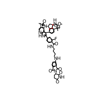 COC(=O)N[C@@H]1CC[C@@H](n2c(=O)n(C)c3cnc4[nH]c(-c5ccc(C(=O)NCCCCNc6ccc7c(c6)C(=O)N(C6CCC(=O)NC6=O)C7=O)c(F)c5)c(-c5ccc6c(c5)COC6(C)C)c4c32)C1